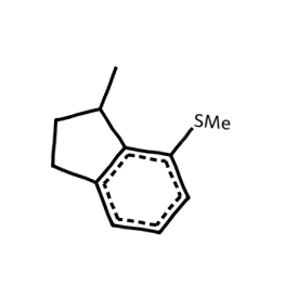 CSc1cccc2c1C(C)CC2